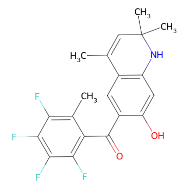 CC1=CC(C)(C)Nc2cc(O)c(C(=O)c3c(C)c(F)c(F)c(F)c3F)cc21